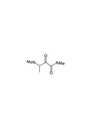 CNC(=O)C(=O)C(C)NC